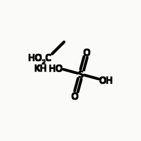 CC(=O)O.O=S(=O)(O)O.[KH]